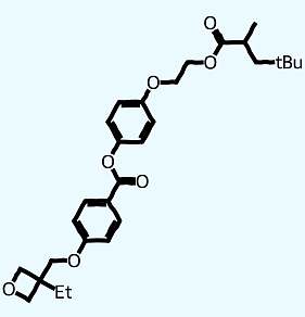 CCC1(COc2ccc(C(=O)Oc3ccc(OCCOC(=O)C(C)CC(C)(C)C)cc3)cc2)COC1